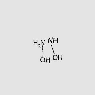 NO.[NH]O